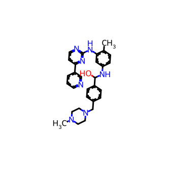 Cc1ccc(NC(O)c2ccc(CN3CCN(C)CC3)cc2)cc1Nc1nccc(-c2cccnc2)n1